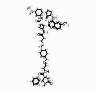 CC(C)N(C)[C@@H]1CC[C@H](N2CC[C@H](Nc3ncnc4ccc(C(F)(F)F)cc34)C2=O)[C@H](NC(=O)[C@H]2C[C@H](NC(=O)CCOC[C@H]3CC[C@H](COCCNC(=O)[C@H]4CC(=O)N(C)[C@@H]4c4cccnc4)CC3)C2)C1